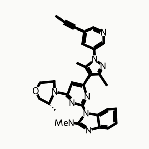 CC#Cc1cncc(-n2nc(C)c(-c3cc(N4CCOC[C@H]4C)nc(-n4c(NC)nc5ccccc54)n3)c2C)c1